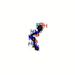 Cc1nc2cc(C(=O)Nc3nc(-c4ccccn4)cs3)ccc2n1CCCC(=O)NCc1ccc(O)c(F)c1